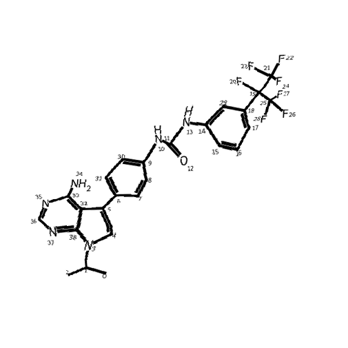 CC(C)n1cc(-c2ccc(NC(=O)Nc3cccc(C(F)(C(F)(F)F)C(F)(F)F)c3)cc2)c2c(N)ncnc21